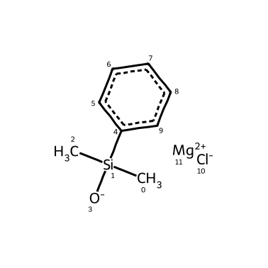 C[Si](C)([O-])c1ccccc1.[Cl-].[Mg+2]